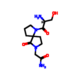 NC(=O)CN1CCC2(CCCN2C(=O)[C@@H](N)CO)C1=O